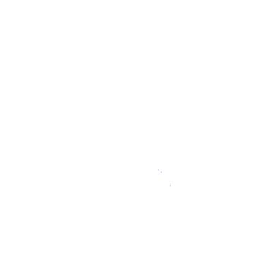 O=C1C[C@H](/C=C/C(O)CCc2csc3ccccc23)N1CC#CCCCCO